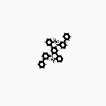 O=S1(=O)c2ccccc2-c2cc3c(cc2N1c1cccc(-c2ccccc2)c1)-c1ccccc1S(=O)(=O)N3c1cccc(-c2ccccc2)c1